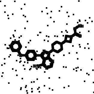 CC(C)(C)OC(=O)N1CC(N2CCC(n3nc(-c4ccc(Oc5ccccc5)cc4)c4c(N)ncnc43)CC2)C1